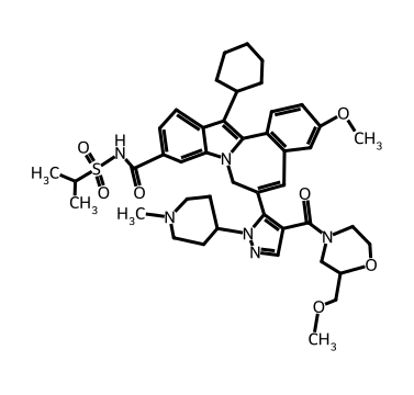 COCC1CN(C(=O)c2cnn(C3CCN(C)CC3)c2C2=Cc3cc(OC)ccc3-c3c(C4CCCCC4)c4ccc(C(=O)NS(=O)(=O)C(C)C)cc4n3C2)CCO1